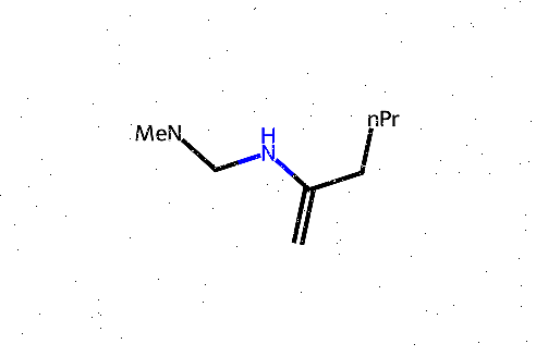 C=C(CCCC)NCNC